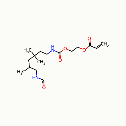 C=CC(=O)OCCOC(=O)NCCC(C)(C)CC(C)CNC=O